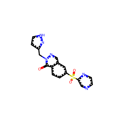 O=c1c2ccc(S(=O)(=O)c3cnccn3)cc2cnn1Cc1cc[nH]n1